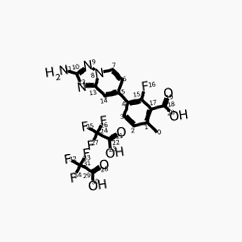 Cc1ccc(-c2ccn3nc(N)nc3c2)c(F)c1C(=O)O.O=C(O)C(F)(F)F.O=C(O)C(F)(F)F